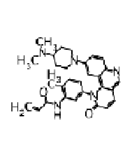 C=CC(=O)Nc1cc(-n2c(=O)ccc3cnc4ccc(N5CCC(N(C)C)CC5)cc4c32)ccc1C